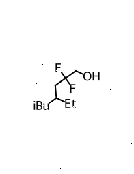 CCC(C)C(CC)CC(F)(F)CO